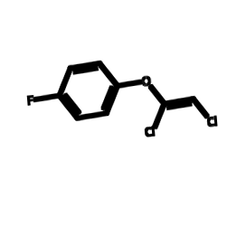 Fc1ccc(OC(Cl)=CCl)cc1